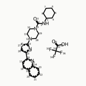 O=C(NC1CCCCC1)N1CCN(c2nc(-c3ccc4ccccc4n3)cs2)CC1.O=C(O)C(F)(F)F